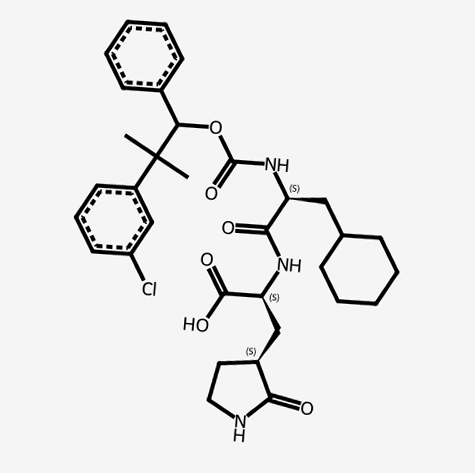 CC(C)(c1cccc(Cl)c1)C(OC(=O)N[C@@H](CC1CCCCC1)C(=O)N[C@@H](C[C@@H]1CCNC1=O)C(=O)O)c1ccccc1